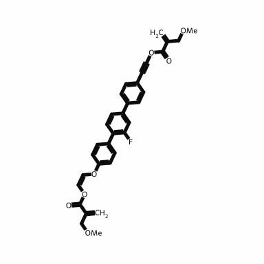 C=C(COC)C(=O)OC#Cc1ccc(-c2ccc(-c3ccc(O/C=C\OC(=O)C(=C)COC)cc3)c(F)c2)cc1